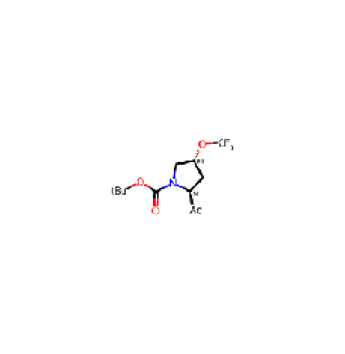 CC(=O)[C@@H]1C[C@@H](OC(F)(F)F)CN1C(=O)OC(C)(C)C